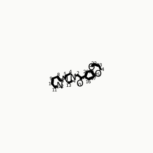 O=C(CN1CCN(c2ccccn2)CC1)c1ccc2c(c1)OC=CCO2